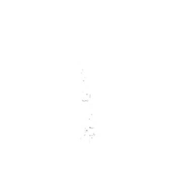 COCCOCCNC(=O)CCCCC[C@H]1NC(=S)N[C@H]1C